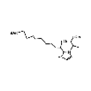 CCCCCCCCCCCCCCCCCCC(CCCCCCCC)c1[nH]cc[n+]1C(C)CCCCCCCCCCC